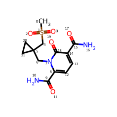 CS(=O)(=O)CC1(Cn2c(C(N)=O)ccc(C(N)=O)c2=O)CC1